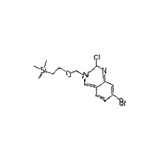 C[Si](C)(C)CCOCN1C=c2ccc(Br)cc2=NC1Cl